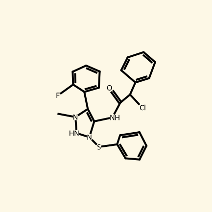 CN1NN(Sc2ccccc2)C(NC(=O)C(Cl)c2ccccc2)=C1c1ccccc1F